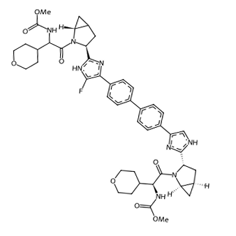 COC(=O)NC(C(=O)N1[C@@H]2CC2C[C@H]1c1nc(-c2ccc(-c3ccc(-c4c[nH]c([C@@H]5C[C@H]6C[C@H]6N5C(=O)[C@@H](NC(=O)OC)C5CCOCC5)n4)cc3)cc2)c(F)[nH]1)C1CCOCC1